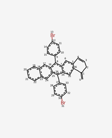 C=C1CC=Cc2cc3c(-c4ccc(Br)cc4)c4cc5ccccc5cc4c(-c4ccc(Br)cc4)c3cc21